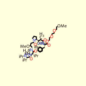 CC[C@H](C)[C@@H]([C@@H](CC(=O)N1CCC[C@H]1C(OC)[C@@H](C)C(=O)N[C@@H](Cc1ccccc1)C(=O)OCCOCCOCCOC)OC)N(C)C(=O)[C@@H](NC(=O)[C@H](C(C)C)N(C)C(C)C)C(C)C